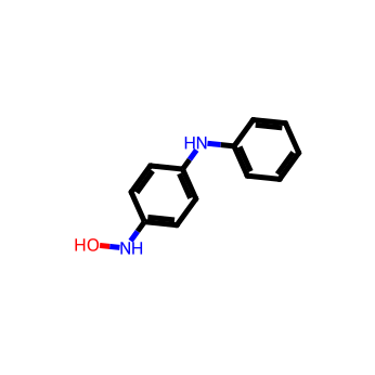 ONc1ccc(Nc2ccccc2)cc1